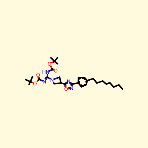 CCCCCCCCc1ccc(-c2noc(C3CN(C(=NC(=O)OC(C)(C)C)NC(=O)OC(C)(C)C)C3)n2)cc1